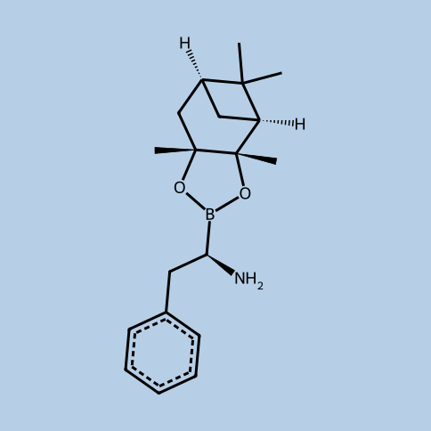 CC1(C)[C@H]2C[C@@H]1[C@]1(C)OB([C@@H](N)Cc3ccccc3)O[C@]1(C)C2